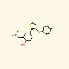 CN(C)CC1CC(c2sccc2Cc2ccc(F)cc2)CCC1O